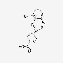 O=C(O)c1ccc(-c2cnc3cccc(Br)c3n2)cn1